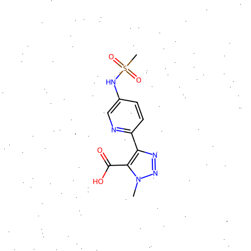 Cn1nnc(-c2ccc(NS(C)(=O)=O)cn2)c1C(=O)O